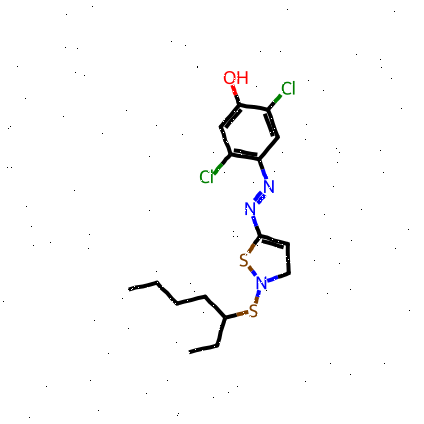 CCCCC(CC)SN1CC=C(N=Nc2cc(Cl)c(O)cc2Cl)S1